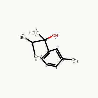 Cc1cccc(C(O)(C(=O)O)C(C)C(C)(C)C)c1